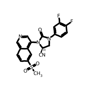 CS(=O)(=O)c1ccc2cncc(N3C(=O)N(c4ccc(F)c(F)c4)C[C@H]3C#N)c2c1